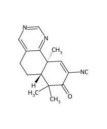 [C-]#[N+]C1=C[C@]2(C)c3ncncc3CC[C@H]2C(C)(C)C1=O